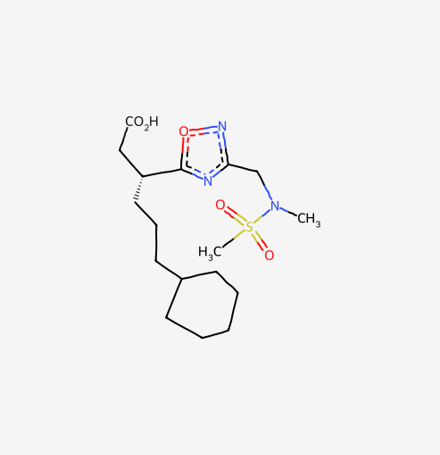 CN(Cc1noc([C@H](CCCC2CCCCC2)CC(=O)O)n1)S(C)(=O)=O